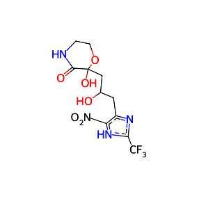 O=C1NCCOC1(O)CC(O)Cc1nc(C(F)(F)F)[nH]c1[N+](=O)[O-]